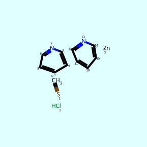 C=S.Cl.[Zn].c1ccncc1.c1ccncc1